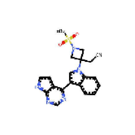 CCCCS(=O)(=O)N1CC(CC#N)(n2cc(-c3ncnc4[nH]ccc34)c3ccccc32)C1